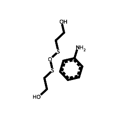 Nc1ccccc1.OCCSOSCCO